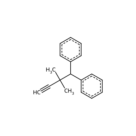 C#CC(C)(C)C(c1ccccc1)c1ccccc1